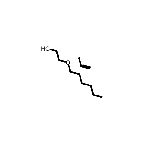 C=CC.CCCCCCOCCO